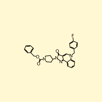 O=C(OCc1ccccc1)N1CCC(n2nc3c4ccccc4n(Cc4ccc(F)cc4)cc-3c2=O)CC1